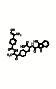 CC(NC(=O)c1ccc(/C(N)=N/O)cc1)C(=O)N1CCC(OC(NC(=O)c2[nH]c3ccccc3c2O)C(=O)O)CC1